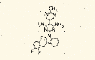 Cc1ncc(-c2c(N)nc(-n3nc(Cc4c(F)ccc(F)c4F)c4ccccc43)nc2N)cn1